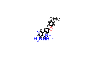 COc1ccc(Oc2ccc(-c3cncc(N)c3C(=N)N)cc2)cc1